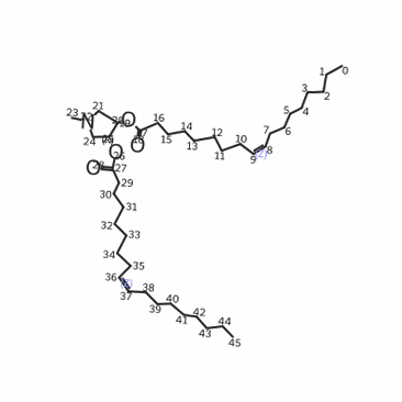 CCCCCCCC/C=C\CCCCCCCC(=O)OC1CN(C)C[C@H]1OC(=O)CCCCCCC/C=C\CCCCCCCC